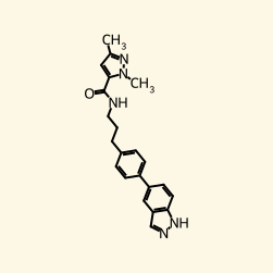 Cc1cc(C(=O)NCCCc2ccc(-c3ccc4[nH]ncc4c3)cc2)n(C)n1